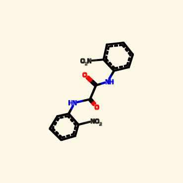 O=C(Nc1ccccc1[N+](=O)[O-])C(=O)Nc1ccccc1[N+](=O)[O-]